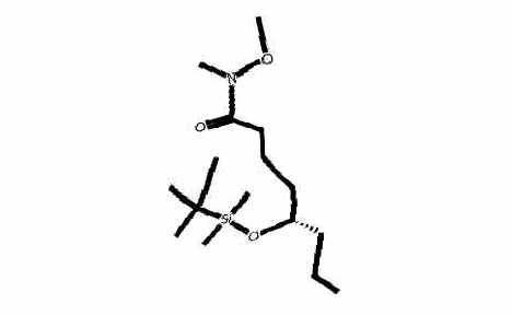 CCC[C@@H](CCCC(=O)N(C)OC)O[Si](C)(C)C(C)(C)C